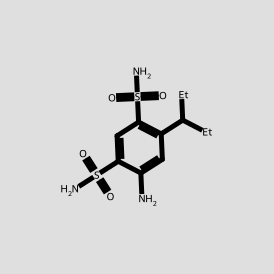 CCC(CC)c1cc(N)c(S(N)(=O)=O)cc1S(N)(=O)=O